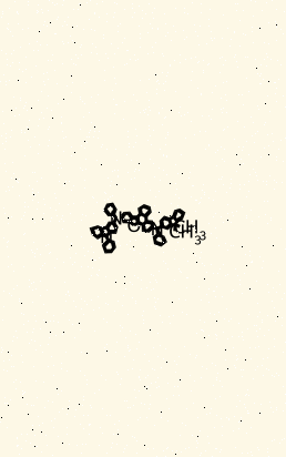 CC1(C)c2ccccc2-c2ccc(N(c3ccccc3)c3ccc4c(c3)c3ccccc3c3c5ccc(N(c6ccccc6)c6ccc7c(c6)c6ccccc6n7-c6ccccc6)cc5oc43)cc21